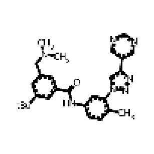 Cc1ccc(NC(=O)c2cc(CN(C)C)cc(C(C)(C)C)c2)cc1-n1cc(-c2cncnc2)nn1